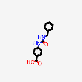 O=C(NCc1ccccc1)Nc1ccc(C(=O)O)cc1